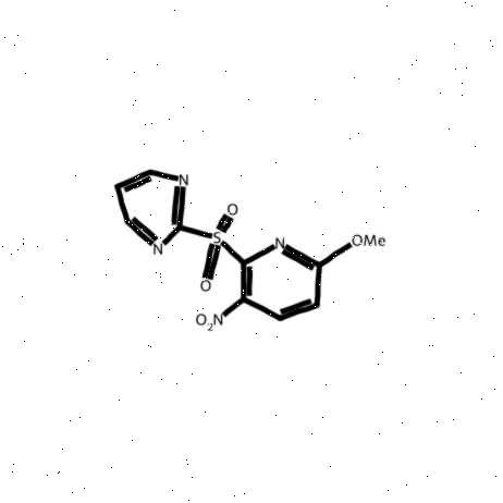 COc1ccc([N+](=O)[O-])c(S(=O)(=O)c2ncccn2)n1